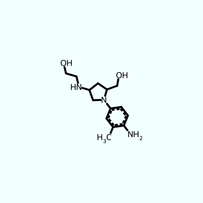 Cc1cc(N2CC(NCCO)CC2CO)ccc1N